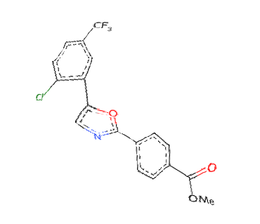 COC(=O)c1ccc(-c2ncc(-c3cc(C(F)(F)F)ccc3Cl)o2)cc1